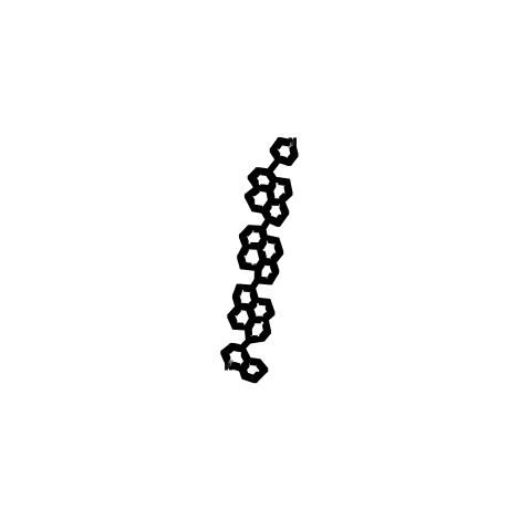 c1ccc2c(-c3ccc4ccc5c(-c6ccc7ccc8c(-c9ccc%10ccc%11c(-c%12ccncc%12)ccc%12ccc9c%10c%12%11)ccc9ccc6c7c98)ccc6ccc3c4c65)ccnc2c1